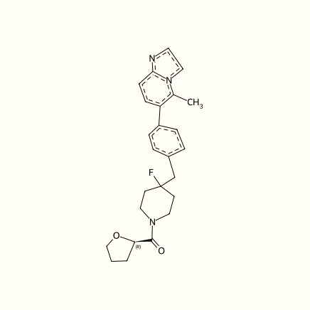 Cc1c(-c2ccc(CC3(F)CCN(C(=O)[C@H]4CCCO4)CC3)cc2)ccc2nccn12